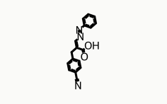 N#Cc1ccc(CC(=CN=Nc2ccccc2)C(=O)O)cc1